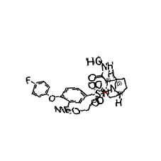 COCCOC(=O)N1[C@@H]2CC[C@H]1[C@H](C(=O)NO)N(S(=O)(=O)c1ccc(Oc3ccc(F)cc3)c(F)c1)C2